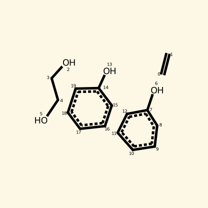 C=C.OCCO.Oc1ccccc1.Oc1ccccc1